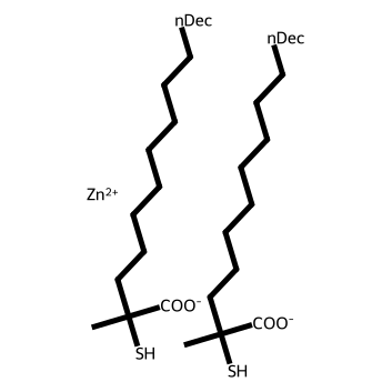 CCCCCCCCCCCCCCCCCCC(C)(S)C(=O)[O-].CCCCCCCCCCCCCCCCCCC(C)(S)C(=O)[O-].[Zn+2]